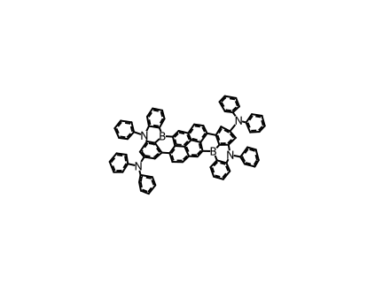 c1ccc(N(c2ccccc2)c2cc3c4c(c2)N(c2ccccc2)c2ccccc2B4c2cc4ccc5c6c(cc7ccc-3c2c7c46)B2c3ccccc3N(c3ccccc3)c3cc(N(c4ccccc4)c4ccccc4)cc-5c32)cc1